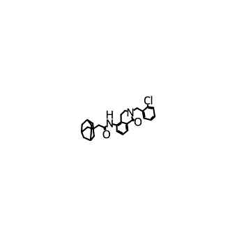 O=C(CC12CC3CC(CC(C3)C1)C2)Nc1cccc2c1CCN(Cc1ccccc1Cl)C2=O